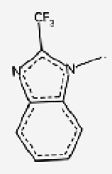 [CH2]n1c(C(F)(F)F)nc2ccccc21